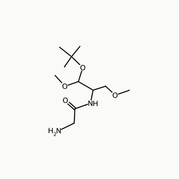 COCC(NC(=O)CN)C(OC)OC(C)(C)C